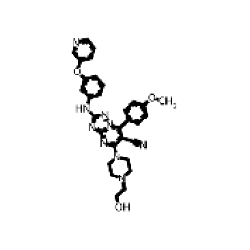 COc1ccc(-c2c(C#N)c(N3CCN(CCO)CC3)nc3nc(Nc4cccc(Oc5cccnc5)c4)nn23)cc1